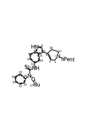 CCCC(C)N1CC=C(c2c[nH]c3ccc(NC(=S)N(OC(C)CC)c4ccccc4)cc23)CC1